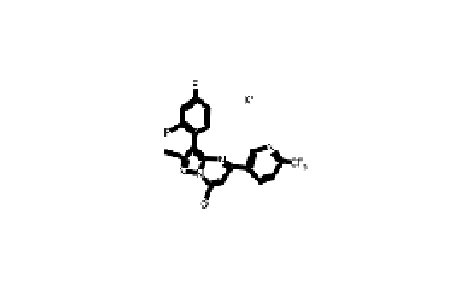 Cc1nn2c([O-])cc(-c3ccc(C(F)(F)F)nc3)nc2c1-c1ccc(F)cc1F.[K+]